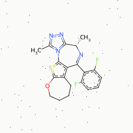 Cc1nnc2n1-c1sc3c(c1C(c1c(F)cccc1F)=N[C@H]2C)CCCCO3